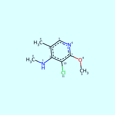 CNc1c(C)cnc(OC)c1Cl